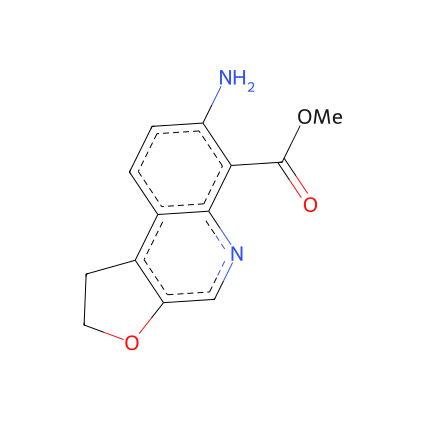 COC(=O)c1c(N)ccc2c3c(cnc12)OCC3